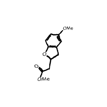 COC(=O)CC1Cc2cc(OC)ccc2O1